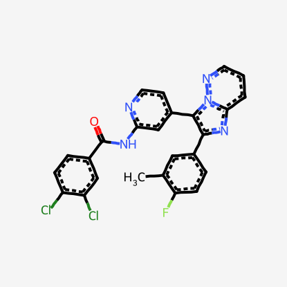 Cc1cc(-c2nc3cccnn3c2-c2ccnc(NC(=O)c3ccc(Cl)c(Cl)c3)c2)ccc1F